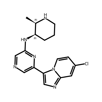 C[C@H]1NCCC[C@H]1Nc1cncc(-c2cnc3cc(Cl)ccn23)n1